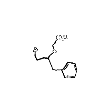 CCOC(=O)COC(CBr)Cc1ccccc1